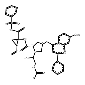 C=C[C@@H]1C[C@]1(NC(=O)[C@@H]1C[C@@H](Oc2cc(-c3ccccc3)nc3cc(OC)ccc23)CN1C(O)CNC(=O)CC)C(=O)NS(=O)(=O)c1ccccc1